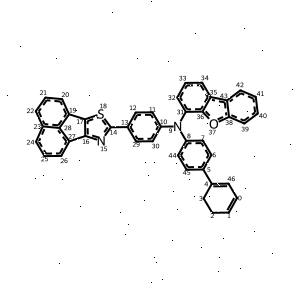 C1=CCCC(c2ccc(N(c3ccc(-c4nc5c(s4)-c4cccc6cccc-5c46)cc3)c3cccc4c3oc3ccccc34)cc2)=C1